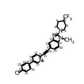 Cn1c(N2CCC(C(F)(F)F)CC2)nc2cc(C#Cc3ccc(-c4ccc(Cl)cc4)cn3)ccc21